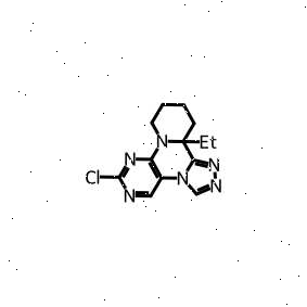 CCC12CCCCN1c1nc(Cl)ncc1-n1cnnc12